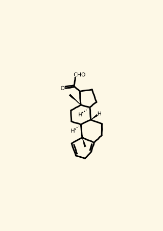 C[C@]12C=CCC=C1CC[C@@H]1[C@@H]2CC[C@]2(C)C(C(=O)C=O)CC[C@@H]12